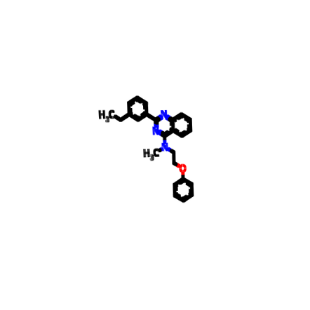 CCc1cccc(-c2nc(N(C)CCOc3ccccc3)c3ccccc3n2)c1